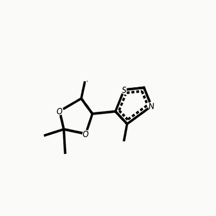 [CH2]C1OC(C)(C)OC1c1scnc1C